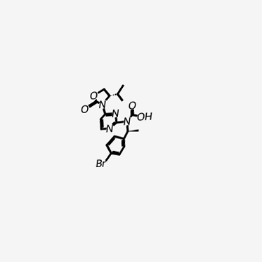 CC(C)[C@H]1COC(=O)N1c1ccnc(N(C(=O)O)[C@@H](C)c2ccc(Br)cc2)n1